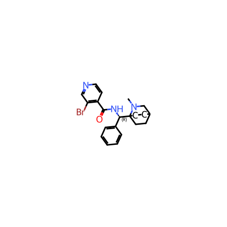 CN1CC2CCC1([C@H](NC(=O)c1ccncc1Br)c1ccccc1)CC2